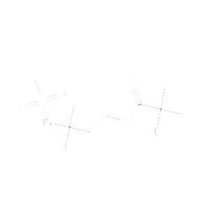 CCC(C)(C)C(=O)OCCC(C)(C)NS(C)(=O)=O